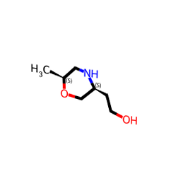 C[C@H]1CN[C@@H](CCO)CO1